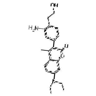 CCN(CC)c1ccc2c(C)c(-c3ccc(CCO)c(N)c3)c(=O)oc2c1